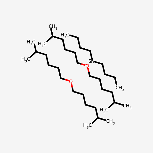 CC(C)CCCCOCCCCC(C)C.CC(C)CCCCOCCCCC(C)C.CCC[CH2][Sn][CH2]CCC